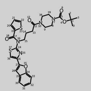 CC(C)(C)OC(=O)N1CCN(C(=O)CCCN(C(=O)c2cccs2)c2nc(-c3cc4ccccc4o3)cs2)CC1